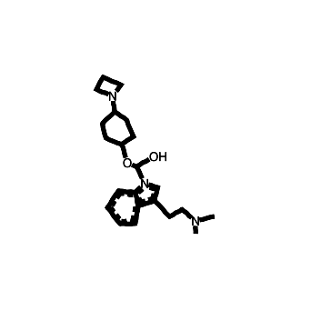 CN(C)CCc1cn(C(O)OC2CCC(N3CCC3)CC2)c2ccccc12